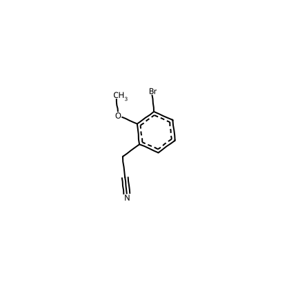 COc1c(Br)cccc1CC#N